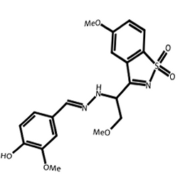 COCC(N/N=C/c1ccc(O)c(OC)c1)C1=NS(=O)(=O)c2ccc(OC)cc21